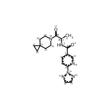 C[C@@H](NC(=O)c1ccc(-n2nccn2)nc1)C(=O)N1CCC2(CC1)CC2